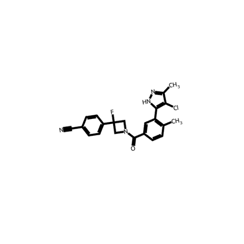 Cc1ccc(C(=O)N2CC(F)(c3ccc(C#N)cc3)C2)cc1-c1[nH]nc(C)c1Cl